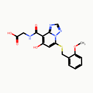 COc1ccccc1CSc1cc(O)c(C(=O)NCC(=O)O)c2ncnn12